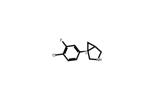 Fc1cc([C@]23CNCC2C3)ccc1Cl